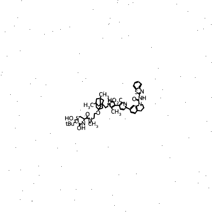 Cc1c(-c2ccc(-c3ccc4c(c3)N(C(=O)Nc3nc5ccccc5s3)CCC4)nc2C(=O)O)cnn1CC12CC3(C)CC(C)(C1)CC(OCCN(C)C(=O)C(CS(=O)(=O)O)NC(=O)OC(C)(C)C)(C3)C2